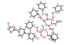 CC(=O)OC[C@H]1O[C@H](Oc2ccc(-c3ccc(-c4nnc(C)o4)cc3)cc2)[C@@H](OCc2ccccc2)[C@@H](C[C@H]2O[C@H](COC(C)=O)[C@@H](OCc3ccccc3)[C@H](OCc3ccccc3)[C@@H]2OCc2ccccc2)[C@@H]1OCc1ccccc1